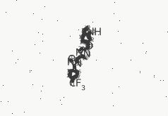 FC(F)(F)c1ccc(-c2noc(-c3cnc(Oc4ccc5c[c][nH]c5c4)cn3)n2)cc1